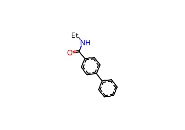 [CH2]CNC(=O)c1ccc(-c2ccccc2)cc1